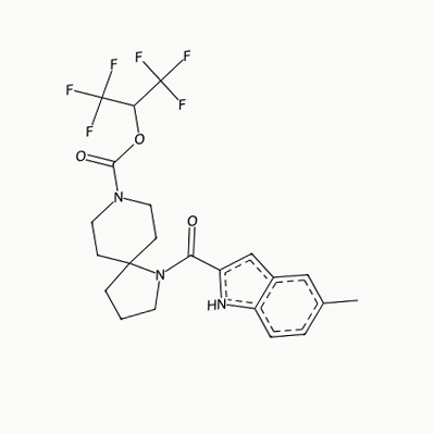 Cc1ccc2[nH]c(C(=O)N3CCCC34CCN(C(=O)OC(C(F)(F)F)C(F)(F)F)CC4)cc2c1